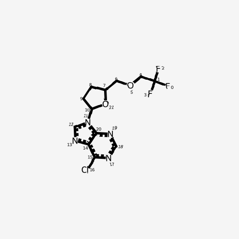 FC(F)(F)COCC1CCC(n2cnc3c(Cl)ncnc32)O1